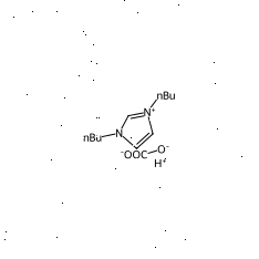 CCCCn1cc[n+](CCCC)c1.O=C([O-])[O-].[H+]